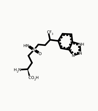 N=S(=O)(CCC(c1ccc2[nH]nnc2c1)C(F)(F)F)CC[C@H](N)C(=O)O